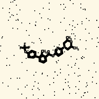 Cc1c(C(=O)Oc2ccc(N3CC(C)OC(C)C3)nc2)cccc1-c1ccc(OC(F)(F)F)cc1